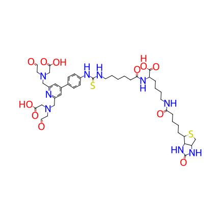 O=CCN(CC(=O)O)Cc1cc(-c2ccc(NC(=S)NCCCCCC(=O)NC(CCCCNC(=O)CCCCC3SCC4NC(=O)NC43)C(=O)O)cc2)cc(CN(CC=O)CC(=O)O)n1